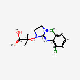 CC(C)(ON1CCN/C1=N\c1c(Cl)cccc1Cl)C(=O)O